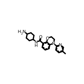 Cc1ccc(N2CCOc3c(C(=O)NC4CCC(N)CC4)cccc32)nc1